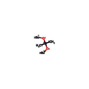 CCCCO[Si](C)(C)OCCCC